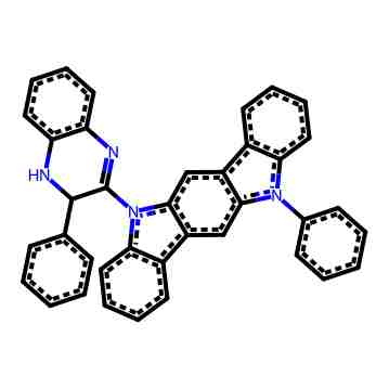 c1ccc(C2Nc3ccccc3N=C2n2c3ccccc3c3cc4c(cc32)c2ccccc2n4-c2ccccc2)cc1